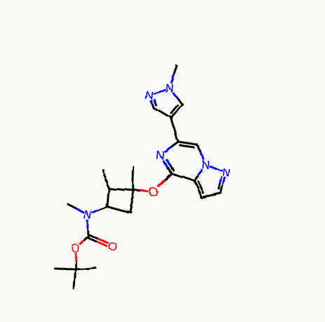 CC1C(N(C)C(=O)OC(C)(C)C)CC1(C)Oc1nc(-c2cnn(C)c2)cn2nccc12